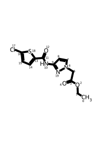 CCOC(=O)Cn1ccc(NC(=O)c2ccc(Cl)s2)n1